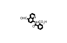 O=Cc1ccc(NC(=O)c2ccccc2C(=O)O)c2ncccc12